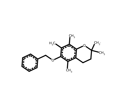 [CH2]C1(C)CCc2c(C)c(OCc3ccccc3)c(C)c(C)c2O1